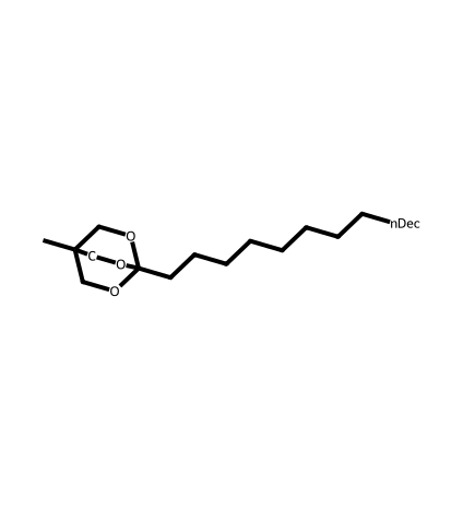 CCCCCCCCCCCCCCCCCCC12OCC(C)(CO1)CO2